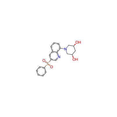 O=S(=O)(c1ccccc1)c1cnc2c(N3C[C@H](O)C[C@H](O)C3)cccc2c1